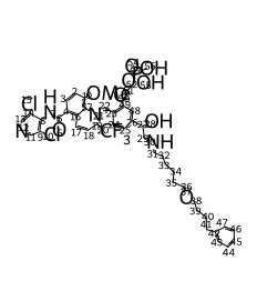 COc1ccc(C(=O)Nc2c(Cl)cncc2Cl)c2ccc(C(F)(F)F)[n+](Cc3ccc(C(O)CNCCCCCCOCCCCc4ccccc4)cc3OCOP(=O)(O)O)c12